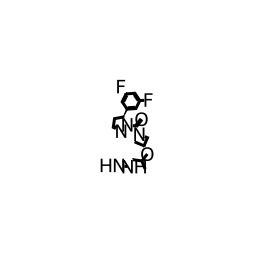 CNNCC(C)OC1CN(C(=O)N2N=CC[C@H]2c2cc(F)cc(F)c2)C1